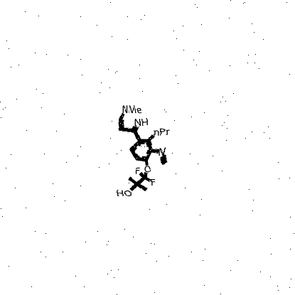 C=Nc1c(OC(F)(F)C(C)(C)O)ccc(C(=N)/C=C\NC)c1CCC